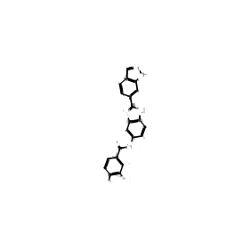 O=C(Nc1ccc2[nH]c(-c3ccc4cn[nH]c4c3)nc2c1)c1ccc(Cl)c(C(F)(F)F)c1